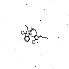 CCC/C=C1\CC(=O)C2=C1CC[C@H](C)[C@@H](CCC)[C@]1(C2)OC(=O)c2ccccc21